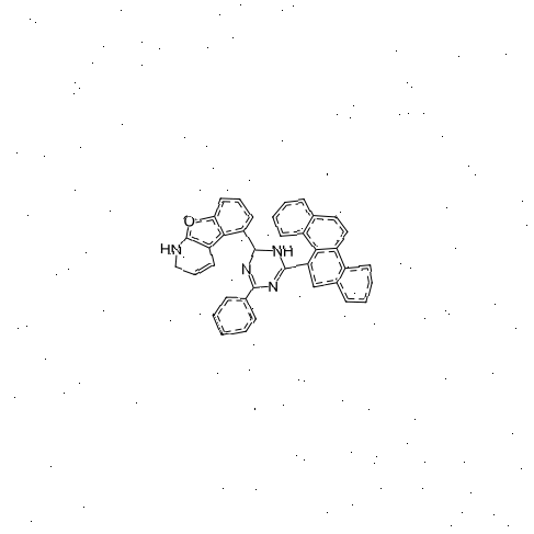 C1=Cc2c(oc3cccc(C4N=C(c5ccccc5)N=C(c5cc6ccccc6c6ccc7ccccc7c56)N4)c23)NC1